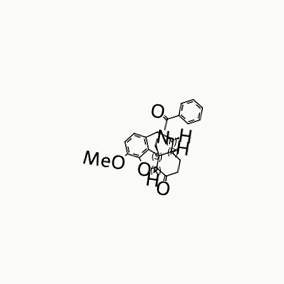 COc1ccc2c3c1O[C@H]1C(=O)CC[C@H]4[C@@H](C2)N(C(=O)c2ccccc2)CC[C@]314